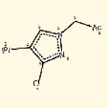 CC(=O)Cn1cc(C(C)C)c(Cl)n1